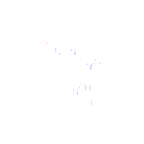 CC(=O)N1c2cnc(N3CCOCC3)cc2/C(=C/c2cccc(C)n2)[C@H](C)C1C1CC1